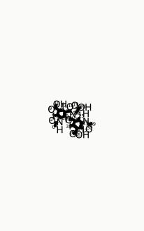 CC(=O)Nc1c(I)c(C(=O)O)c(I)c(C(=O)N(CC(=O)O)C(=O)c2c(I)c(NC(C)=O)c(I)c(C(=O)O)c2I)c1I